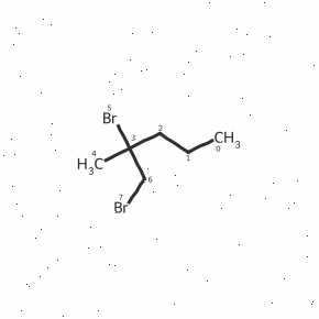 CCCC(C)(Br)[CH]Br